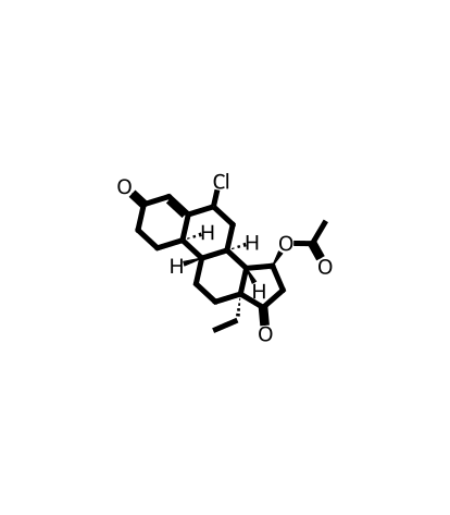 CC[C@]12CC[C@H]3[C@@H](CC(Cl)C4=CC(=O)CC[C@@H]43)[C@@H]1[C@@H](OC(C)=O)CC2=O